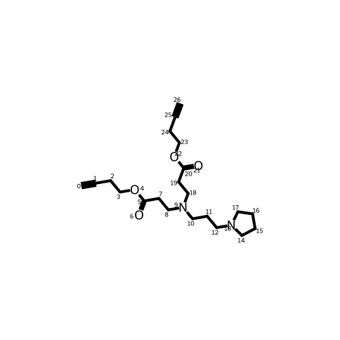 C#CCCOC(=O)CCN(CCCN1CCCC1)CCC(=O)OCCC#C